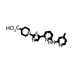 Cc1ccnc(Nc2cccc(-c3cnc(N4CCC(C(=O)O)CC4)s3)n2)c1